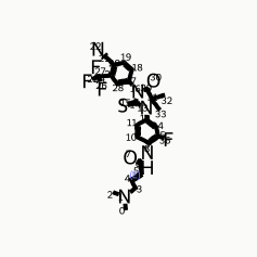 CN(C)C/C=C/C(=O)Nc1ccc(N2C(=S)N(c3ccc(C#N)c(C(F)(F)F)c3)C(=O)C2(C)C)cc1F